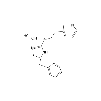 Cl.Cl.c1ccc(CC2CN=C(SCCc3cccnc3)N2)cc1